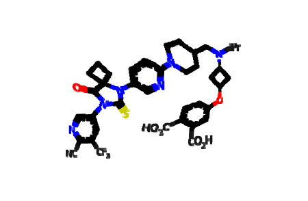 CC(C)N(CC1CCN(c2ccc(N3C(=S)N(c4cnc(C#N)c(C(F)(F)F)c4)C(=O)C34CCC4)cn2)CC1)[C@H]1C[C@H](Oc2ccc(C(=O)O)c(C(=O)O)c2)C1